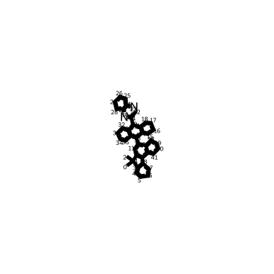 CC1(C)c2ccccc2-c2c1cc(-c1c3ccccc3c(-c3cnc4ccccc4n3)c3ccccc13)c1ccccc21